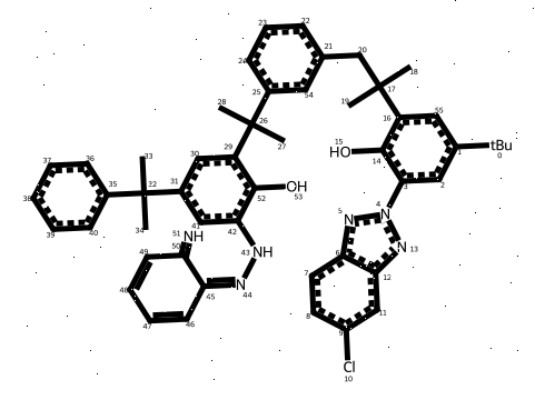 CC(C)(C)c1cc(-n2nc3ccc(Cl)cc3n2)c(O)c(C(C)(C)Cc2cccc(C(C)(C)c3cc(C(C)(C)c4ccccc4)cc(N/N=C4/C=CC=CC4=N)c3O)c2)c1